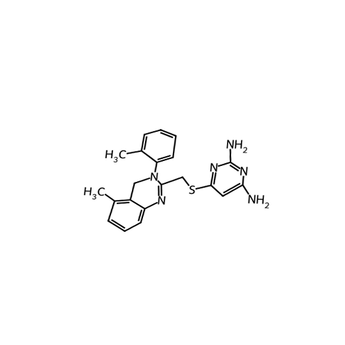 Cc1ccccc1N1Cc2c(C)cccc2N=C1CSc1cc(N)nc(N)n1